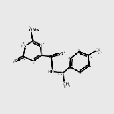 COc1nc(C(=O)N[C@H](C)c2ccc(C(F)(F)F)cc2)cc(=O)[nH]1